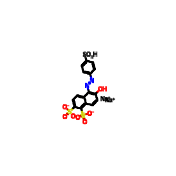 O=S(=O)([O-])c1ccc2c(N=Nc3ccc(S(=O)(=O)O)cc3)c(O)ccc2c1S(=O)(=O)[O-].[Na+].[Na+]